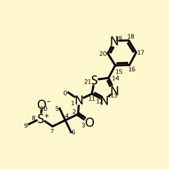 CN(C(=O)C(C)(C)C[S+](C)[O-])c1nnc(-c2cccnc2)s1